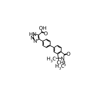 CCN1C(=O)c2ccc(-c3ccc(-c4nn[nH]c4C(=O)O)cc3)cc2C1(C)C